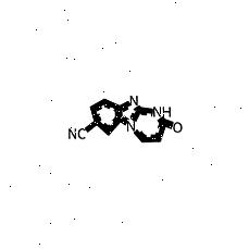 N#Cc1ccc2nc3[nH]c(=O)ccn3c2c1